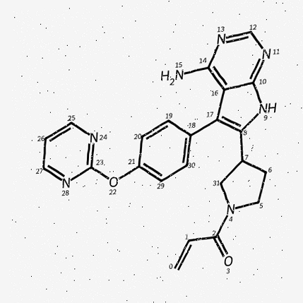 C=CC(=O)N1CCC(c2[nH]c3ncnc(N)c3c2-c2ccc(Oc3ncccn3)cc2)C1